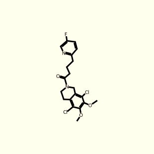 COc1c(Cl)c2c(c(Cl)c1OC)CN(C(=O)CCCc1ccc(F)cn1)CC2